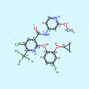 COc1cc(NC(=O)c2cc(Cl)c(C(F)(F)F)nc2Oc2ccc(F)cc2OC2CC2)ccn1